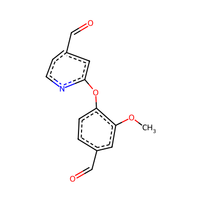 COc1cc(C=O)ccc1Oc1cc(C=O)ccn1